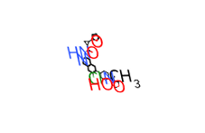 C[C@@]1(N2CCC(c3cc4cc(NC(=O)C5CC5c5ccco5)ncc4cc3Cl)CC2)COC[C@@H]1O